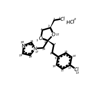 Cl.ClC[C@@H]1CO[C@@](CCc2ccc(Cl)cc2)(Cn2ccnc2)O1